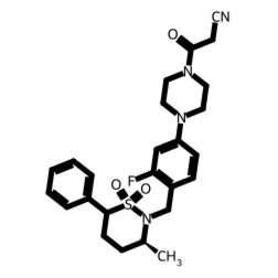 C[C@H]1CCC(c2ccccc2)S(=O)(=O)N1Cc1ccc(N2CCN(C(=O)CC#N)CC2)cc1F